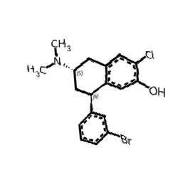 CN(C)[C@@H]1Cc2cc(Cl)c(O)cc2[C@@H](c2cccc(Br)c2)C1